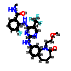 CNC(=O)c1cccc(F)c1Nc1nc(Nc2ccc3c(c2)N(CCOC)C(=O)CCC3)ncc1C(F)(F)F